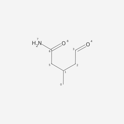 CC(CC=O)CC(N)=O